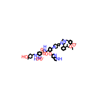 CCOc1cc(CN2CCN(C3CC4(CCN(c5ccc(C(=O)NS(=O)(=O)c6ccc(NCC7CCC(C)(O)CC7)c([N+](=O)[O-])c6)c(Oc6cnc7[nH]ccc7c6)c5)CC4)C3)C(c3ccccc3C(C)C)C2)ccc1OC